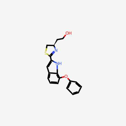 OCC[C@@H]1CSC(c2cc3cccc(Oc4ccccc4)c3[nH]2)=N1